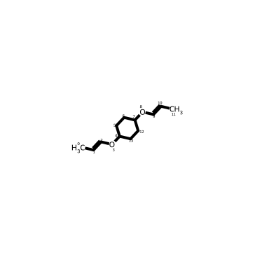 CC=COC1CCC(OC=CC)CC1